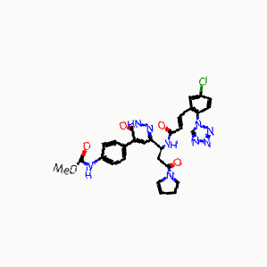 COC(=O)Nc1ccc(-c2cc([C@H](CC(=O)N3CCCC3)NC(=O)/C=C/c3cc(Cl)ccc3-n3cnnn3)n[nH]c2=O)cc1